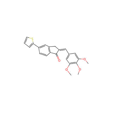 COc1cc(C=C2Cc3cc(-c4cccs4)ccc3C2=O)cc(OC)c1OC